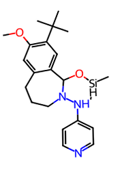 COc1cc2c(cc1C(C)(C)C)C(O[SiH](C)C)N(Nc1ccncc1)CCC2